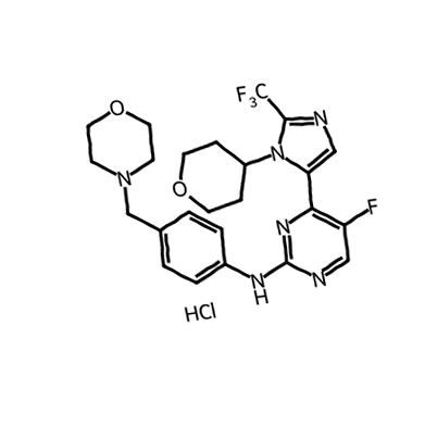 Cl.Fc1cnc(Nc2ccc(CN3CCOCC3)cc2)nc1-c1cnc(C(F)(F)F)n1C1CCOCC1